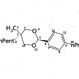 CCCCC[C@]1(C)CO[C@@H](c2ccc(CCC)cc2)OC1